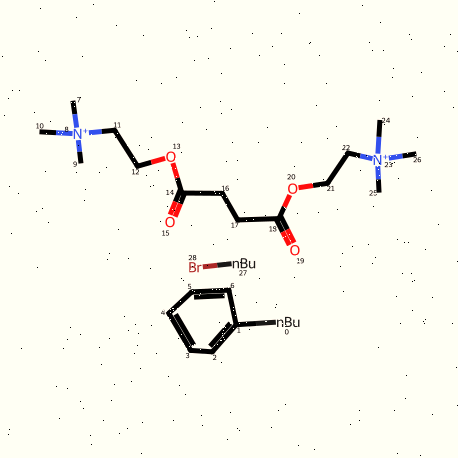 CCCCc1ccccc1.C[N+](C)(C)CCOC(=O)CCC(=O)OCC[N+](C)(C)C.[CH2]CCCBr